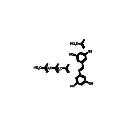 C=C(C)C(=O)O.C=C(C)C(=O)O.C=C(C)C(=O)O.C=C(C)C(=O)O.Oc1cc(O)cc(C=Cc2cc(O)cc(O)c2)c1